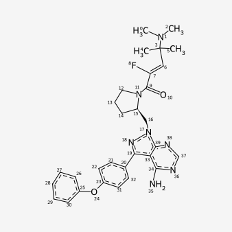 CN(C)C(C)(C)C=C(F)C(=O)N1CCC[C@@H]1Cn1nc(-c2ccc(Oc3ccccc3)cc2)c2c(N)ncnc21